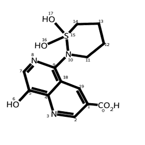 O=C(O)c1cnc2c(O)cnc(N3CCCCS3(O)O)c2c1